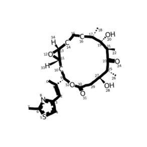 C/C(=C\c1csc(C)n1)[C@@H]1C[C@@H]2O[C@@H]2CCC[C@H](C)[C@H](O)[C@@H](C)C(=O)[C@H](C)[C@@H](O)CC(=O)O1